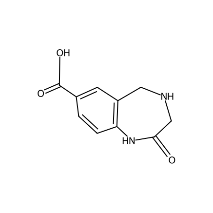 O=C1CNCc2cc(C(=O)O)ccc2N1